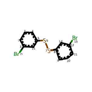 Brc1cccc(SSc2cccc(Br)c2)c1